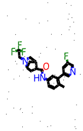 Cc1ccc(NC(=O)C2CC3CC2CN3CC(F)(F)F)cc1-c1cncc(F)c1